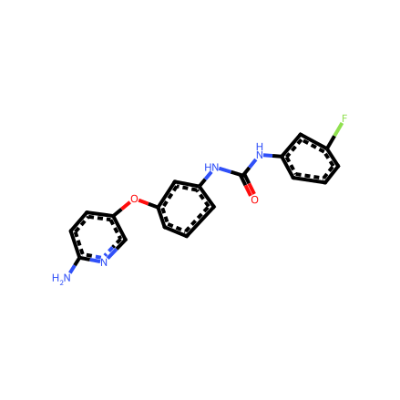 Nc1ccc(Oc2cccc(NC(=O)Nc3cccc(F)c3)c2)cn1